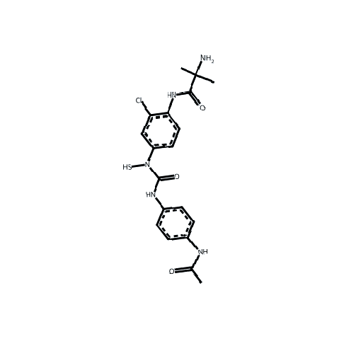 CC(=O)Nc1ccc(NC(=O)N(S)c2ccc(NC(=O)C(C)(C)N)c(Cl)c2)cc1